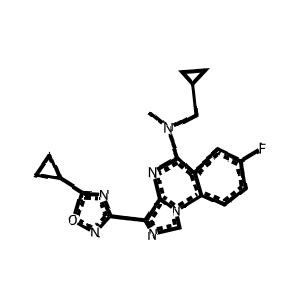 CN(CC1CC1)c1nc2c(-c3noc(C4CC4)n3)ncn2c2ccc(F)cc12